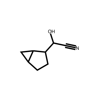 N#CC(O)C1CCC2CC21